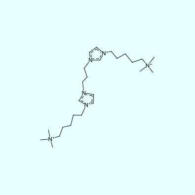 C[N+](C)(C)CCCCC[n+]1ccn(CCCn2cc[n+](CCCCC[N+](C)(C)C)c2)c1